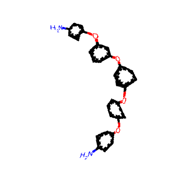 Nc1ccc(Oc2cccc(Oc3ccc(Oc4cccc(Oc5ccc(N)cc5)c4)cc3)c2)cc1